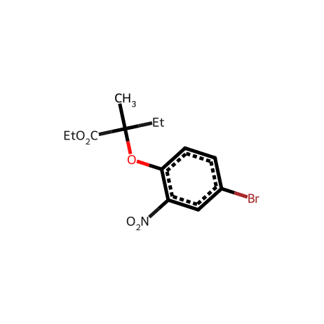 CCOC(=O)C(C)(CC)Oc1ccc(Br)cc1[N+](=O)[O-]